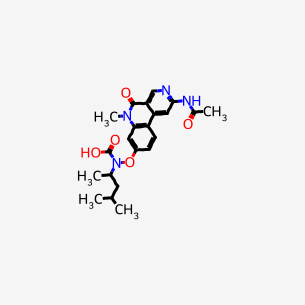 CC(=O)Nc1cc2c(cn1)c(=O)n(C)c1cc(ON(C(=O)O)C(C)CC(C)C)ccc21